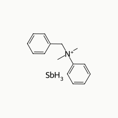 C[N+](C)(Cc1ccccc1)c1ccccc1.[SbH3]